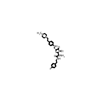 CCN1C(=O)[C@@H](CNc2ccc(CCN3CCN(C)CC3)cc2)SC1[C@H](N)C(=O)NCCc1ccc(F)cc1